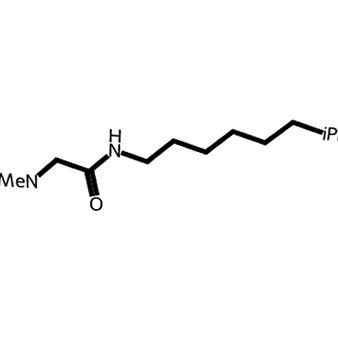 CNCC(=O)NCCCCCCC(C)C